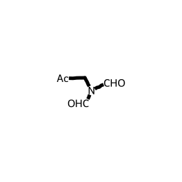 CC(=O)CN(C=O)C=O